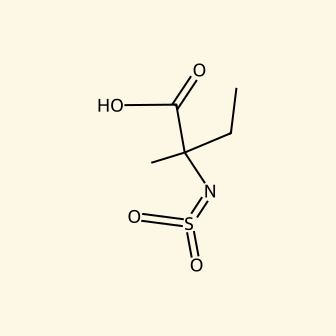 CCC(C)(N=S(=O)=O)C(=O)O